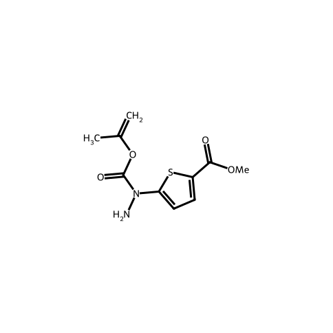 C=C(C)OC(=O)N(N)c1ccc(C(=O)OC)s1